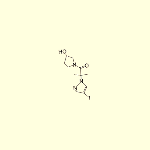 CC(C)(C(=O)N1CC[C@H](O)C1)n1cc(I)cn1